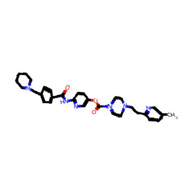 Cc1ccc(CCN2CCN(C(=O)Oc3ccc(NC(=O)c4ccc(CN5CCCCC5)cc4)nc3)CC2)nc1